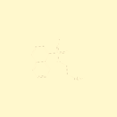 CCCCCCCCCCCCOS(=O)(=O)c1cccc2ccccc12.[V]